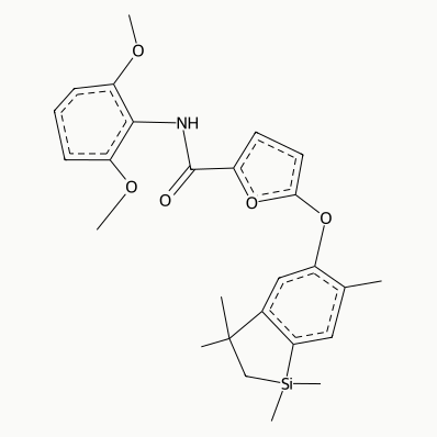 COc1cccc(OC)c1NC(=O)c1ccc(Oc2cc3c(cc2C)[Si](C)(C)CC3(C)C)o1